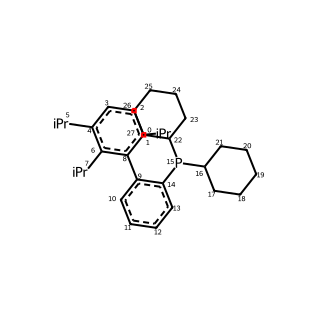 CC(C)c1ccc(C(C)C)c(C(C)C)c1-c1ccccc1P(C1CCCCC1)C1CCCCC1